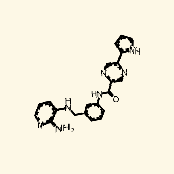 Nc1ncccc1NCc1cccc(NC(=O)c2cnc(-c3ccc[nH]3)cn2)c1